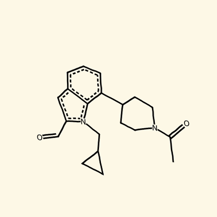 CC(=O)N1CCC(c2cccc3cc(C=O)n(CC4CC4)c23)CC1